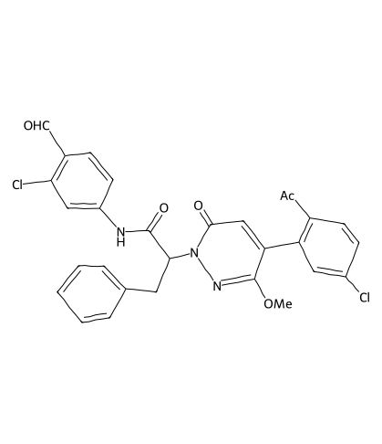 COc1nn(C(Cc2ccccc2)C(=O)Nc2ccc(C=O)c(Cl)c2)c(=O)cc1-c1cc(Cl)ccc1C(C)=O